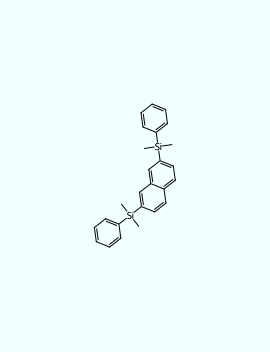 C[Si](C)(c1ccccc1)c1ccc2ccc([Si](C)(C)c3ccccc3)cc2c1